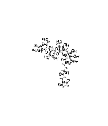 CC(=O)NC1C(OC2C(C(=O)O)OC(OC3C(O)C(CO)OC(C(C)(C)C)C3NC(C)=O)C(O)C2O)OC(CO)C(O)C1OC1OC(C(=O)NCCCNC(=O)CCN2C(=O)C=CC2=O)C(OC(C)C)C(O)C1O